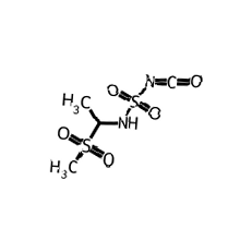 CC(NS(=O)(=O)N=C=O)S(C)(=O)=O